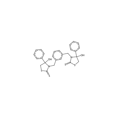 OC1(c2ccccc2)CSC(=S)N1Cc1cccc(CN2C(=S)SCC2(O)c2ccccc2)c1